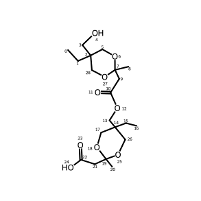 CCC1(CO)COC(C)(CC(=O)OCC2(CC)COC(C)(CC(=O)O)OC2)OC1